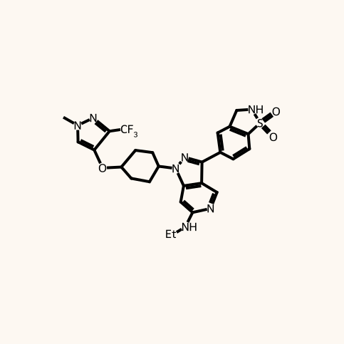 CCNc1cc2c(cn1)c(-c1ccc3c(c1)CNS3(=O)=O)nn2C1CCC(Oc2cn(C)nc2C(F)(F)F)CC1